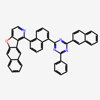 c1ccc(-c2nc(-c3ccc4ccccc4c3)nc(-c3cccc4c(-c5nccc6oc7cc8ccccc8cc7c56)cccc34)n2)cc1